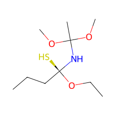 CCC[C@](S)(NC(C)(OC)OC)OCC